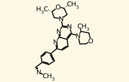 C/N=C\c1ccc(-c2ccc3c(N4CCOC[C@@H]4C)nc(N4C[C@@H](C)O[C@@H](C)C4)nc3n2)cc1